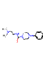 CN(C)CCNC(=O)N1CCN(c2ccccc2)CC1